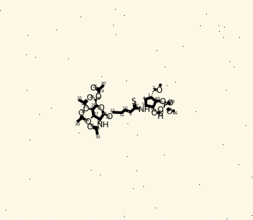 COC[C@H]1C[C@H](NC(=S)CCCCO[C@@H]2O[C@H](COC(C)=O)[C@H](OC(C)=O)[C@H](OC(C)=O)[C@H]2NC(C)=O)[C@@H](OC)C1OP(=O)(O)OC